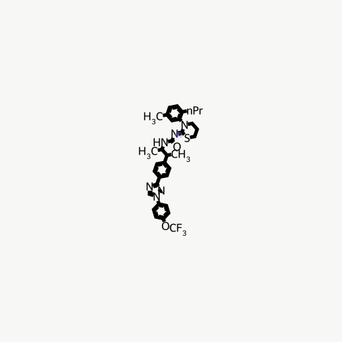 CCCc1ccc(C)cc1N1CCCS/C1=N\C(=O)NC(C)C(C)c1ccc(-c2ncn(-c3ccc(OC(F)(F)F)cc3)n2)cc1